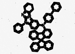 C1=Cc2nc3n(-c4ccccc4)c4ccc(N(c5ccc(-c6ccccc6)cc5)c5cccc6c5-c5ccccc5C65c6ccccc6-c6ccccc65)cc4n3c2CC1